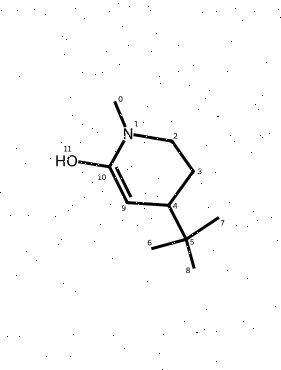 CN1CCC(C(C)(C)C)C=C1O